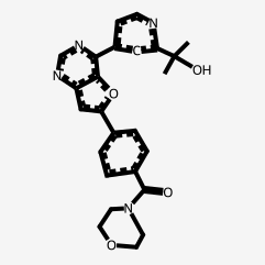 CC(C)(O)c1cc(-c2ncnc3cc(-c4ccc(C(=O)N5CCOCC5)cc4)oc23)ccn1